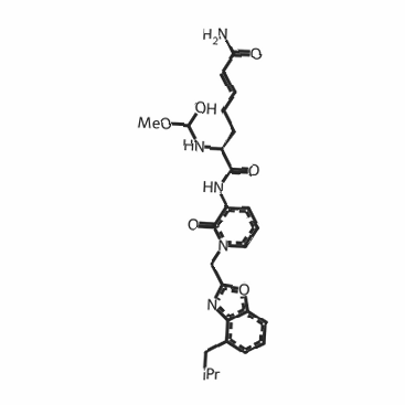 COC(O)N[C@@H](CC/C=C/C(N)=O)C(=O)Nc1cccn(Cc2nc3c(CC(C)C)cccc3o2)c1=O